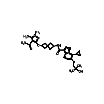 Cc1c(C(N)=O)c(O[C@H]2CC3(C[C@H](NC(=O)c4cnn5c(C6CC6)c(OCC(C)(C)O)ccc45)C3)C2)nn1C